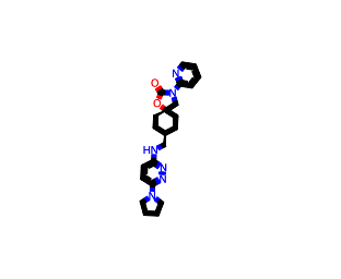 O=C1O[C@]2(CC[C@H](CNc3ccc(N4CCCC4)nn3)CC2)CN1c1ccccn1